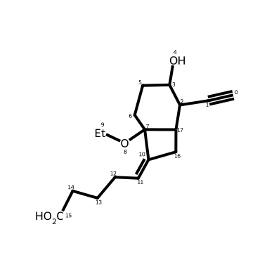 C#CC1C(O)CCC2(OCC)C(=CCCCC(=O)O)CC12